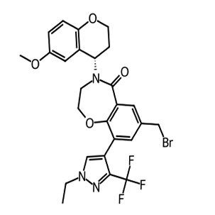 CCn1cc(-c2cc(CBr)cc3c2OCCN([C@H]2CCOc4ccc(OC)cc42)C3=O)c(C(F)(F)F)n1